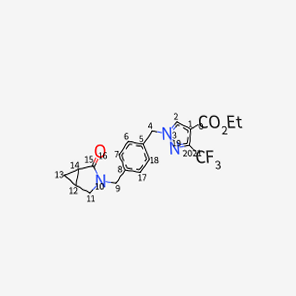 CCOC(=O)c1cn(Cc2ccc(CN3CC4CC4C3=O)cc2)nc1C(F)(F)F